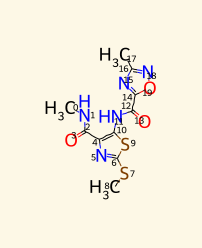 CNC(=O)c1nc(SC)sc1NC(=O)c1nc(C)no1